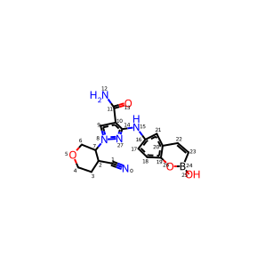 N#CC1CCOCC1n1cc(C(N)=O)c(Nc2ccc3c(c2)C=CB(O)O3)n1